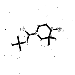 CC(C)(C)OC(O)N1CC[C@@H](N)C(C)(C)C1